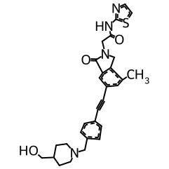 Cc1cc(C#Cc2ccc(CN3CCC(CO)CC3)cc2)cc2c1CN(CC(=O)Nc1nccs1)C2=O